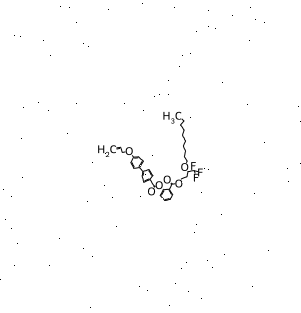 C=CCOc1ccc(-c2ccc(C(=O)Oc3ccccc3C(=O)OCCC(OCCCCCCCCCC)C(F)(F)F)cc2)cc1